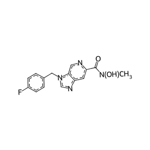 CN(O)C(=O)c1cc2ncn(Cc3ccc(F)cc3)c2cn1